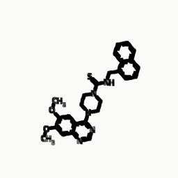 COc1cc2ncnc(N3CCN(C(=S)NCc4cccc5ccccc45)CC3)c2cc1OC